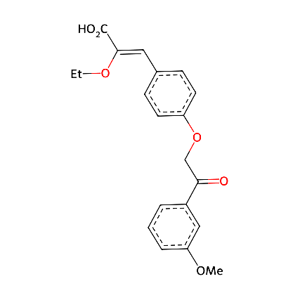 CCO/C(=C\c1ccc(OCC(=O)c2cccc(OC)c2)cc1)C(=O)O